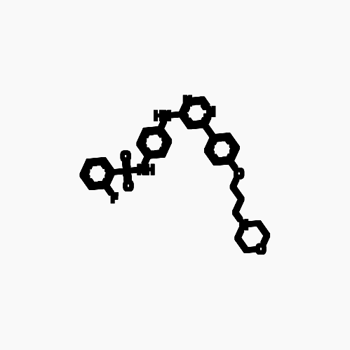 O=S(=O)(Nc1ccc(Nc2cc(-c3ccc(OCCCN4CCOCC4)cc3)ncn2)cc1)c1ccccc1F